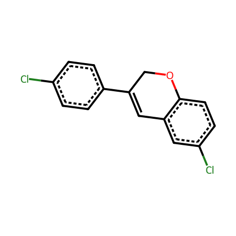 Clc1ccc(C2=Cc3cc(Cl)ccc3OC2)cc1